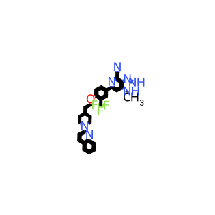 CNc1cc(-c2ccc(OCCC3CCN(c4ccc5ccccc5n4)CC3)c(C(F)(F)F)c2)nc(C#N)c1N=N